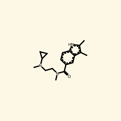 Cc1[nH]c2ccc(C(=O)N(C)CCN(C)C3CC3)cc2c1C